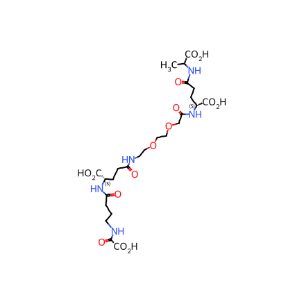 CC(NC(=O)CC[C@H](NC(=O)COCCOCCNC(=O)CC[C@H](NC(=O)CCCNC(=O)C(=O)O)C(=O)O)C(=O)O)C(=O)O